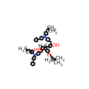 CC(C)Cc1ccc(N(c2ccc(Cc3cc(C(C)(c4ccc(OCCC[Si]5(C)C(C)C5C)cc4)c4ccc(O)c(Cc5ccc(N(c6ccc(CC(C)C)cc6)c6ccc(-c7ccccc7)cc6)cc5)c4)ccc3O)cc2)c2ccc(-c3ccccc3)cc2)cc1